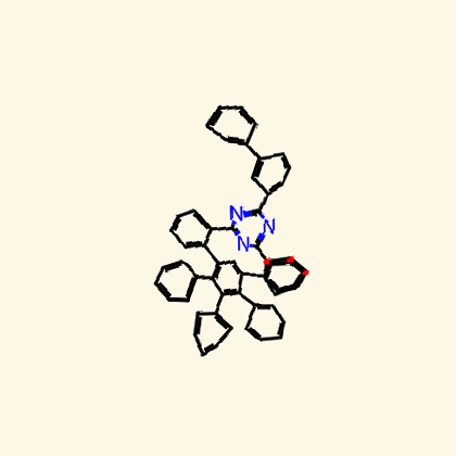 c1ccc(-c2cccc(-c3nc(-c4ccccc4)nc(-c4ccccc4-c4cc(-c5ccccc5)c(-c5ccccc5)c(-c5ccccc5)c4-c4ccccc4)n3)c2)cc1